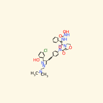 CN(C)CCn1cc(C#Cc2ccc(NC(=O)[C@@H]3COCCN3C(=O)[C@H](NC(=O)NO)c3ccccc3)cc2)c(-c2cc(Cl)ccc2O)n1